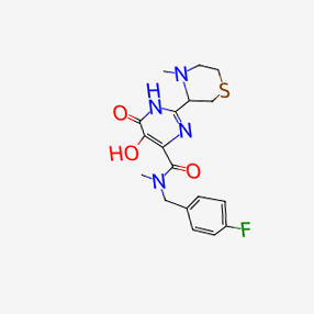 CN(Cc1ccc(F)cc1)C(=O)c1nc(C2CSCCN2C)[nH]c(=O)c1O